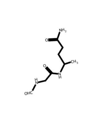 CC(CCC(N)=O)NC(=O)CNC=O